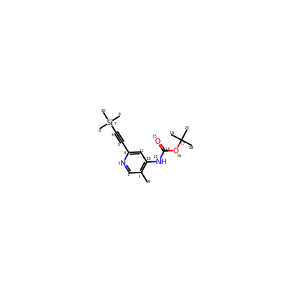 Cc1cnc(C#C[Si](C)(C)C)cc1NC(=O)OC(C)(C)C